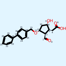 O=C[C@@H]1[C@@H](CC(=O)O)[C@@H](O)C[C@H]1OCc1ccc(-c2ccccc2)cc1